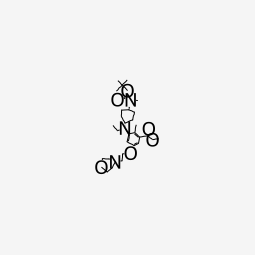 CCN(c1cc(OCCN2CCOCC2)cc(C(=O)OC)c1C)[C@H]1CC[C@H](N(C)C(=O)OC(C)(C)C)CC1